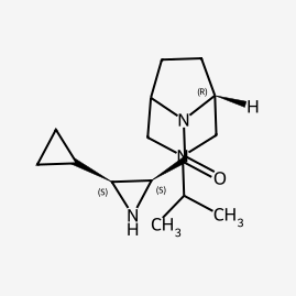 CC(C)N1CC2CC[C@H](C1)N2C(=O)[C@H]1N[C@H]1C1CC1